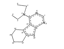 CCN(CC)c1ncnc2sc3c(c12)CCCC3